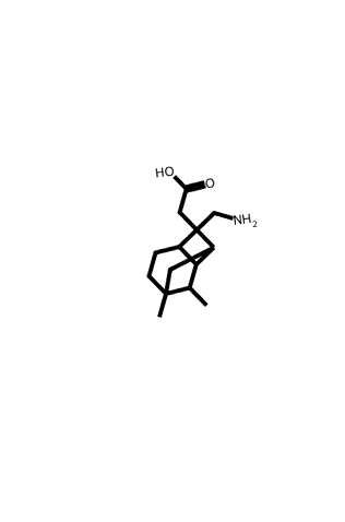 CC1C2C3CCC1(C)CC2C3(CN)CC(=O)O